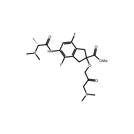 COC(=O)C1(OCC(=O)CN(C)C)Cc2c(F)cc(NC(=O)[C@@H](C)N(C)C)c(F)c2C1